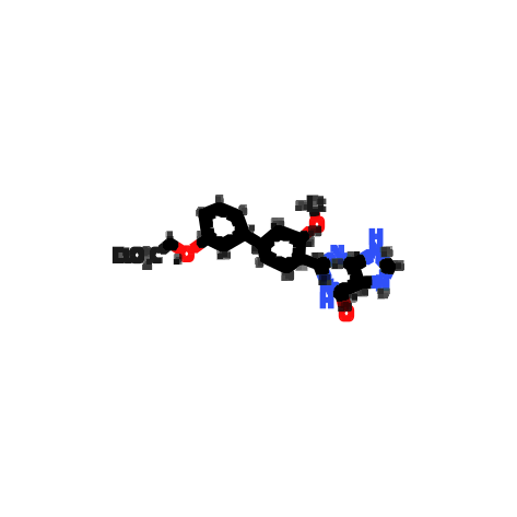 CCOC(=O)COc1cccc(-c2ccc(-c3nc4[nH]cnc4c(=O)[nH]3)c(OCC)c2)c1